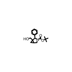 CC(C)(C)OC(=O)N1CC2CC2(CO)C1c1ccccc1